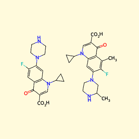 Cc1c(F)c(N2CCNC(C)C2)cc2c1c(=O)c(C(=O)O)cn2C1CC1.O=C(O)c1cn(C2CC2)c2cc(N3CCNCC3)c(F)cc2c1=O